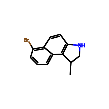 CC1CNc2ccc3c(Br)cccc3c21